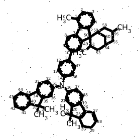 Cc1cccc2c1-c1ccc(-c3ccc(N(c4ccc5c(c4)C(C)(C)C4=C5C=CCC4)c4ccc5c(c4)C(C)(C)c4ccccc4-5)cc3)cc1C21C(C)CC2CC(C)CC1C2